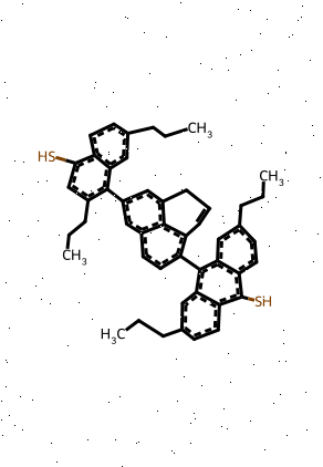 CCCc1ccc2c(S)cc(CCC)c(-c3cc4c5c(c(-c6c7cc(CCC)ccc7c(S)c7ccc(CCC)cc67)ccc5c3)C=CC4)c2c1